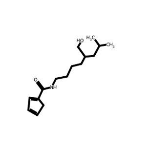 CC(C)CC(CO)CCCCNC(=O)C1=CC=CC1